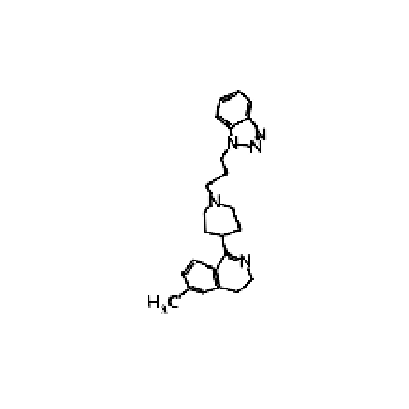 Cc1ccc2c(c1)CCN=C2C1CCN(CCCn2nnc3ccccc32)CC1